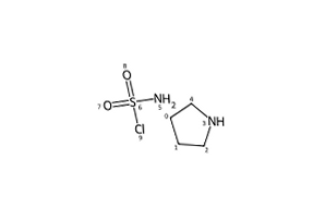 C1CCNC1.NS(=O)(=O)Cl